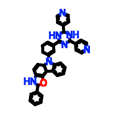 C1=CC2C(C3=C1NC(c1ccccc1)O3)c1ccccc1N2C1=CC(C2=NC(c3ccncc3)NC(c3ccncc3)N2)=CCC1